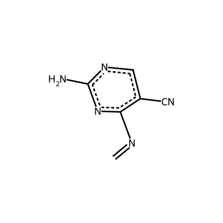 C=Nc1nc(N)ncc1C#N